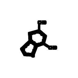 O=Cc1cc(C=O)c2occc2c1